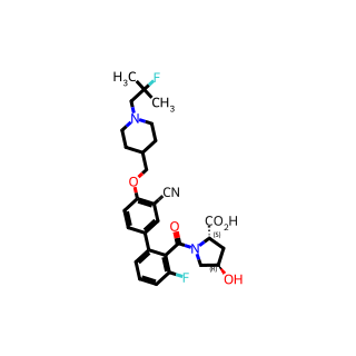 CC(C)(F)CN1CCC(COc2ccc(-c3cccc(F)c3C(=O)N3C[C@H](O)C[C@H]3C(=O)O)cc2C#N)CC1